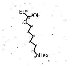 CCCCCCCCCCCCO[C](O)CC